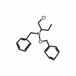 CCC(CCl)N(Cc1ccccc1)OCc1ccccc1